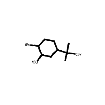 CC(C)(C)C1CCC(C(C)(C)O)CC1C(C)(C)C